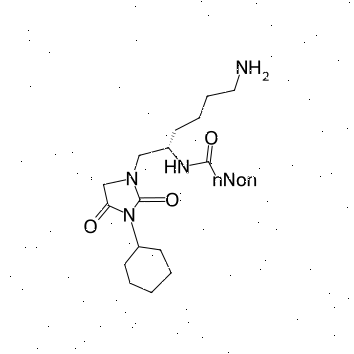 CCCCCCCCCC(=O)N[C@@H](CCCCN)CN1CC(=O)N(C2CCCCC2)C1=O